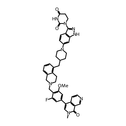 COc1cc(-c2cn(C)c(=O)c3cnccc23)cc(F)c1CN1CCc2c(CC3CCN(c4ccc5c(N6CCC(=O)NC6=O)n[nH]c5c4)CC3)cccc2C1